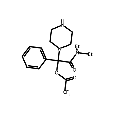 CCN(CC)C(=O)C(OC(=O)C(F)(F)F)(c1ccccc1)N1CCNCC1